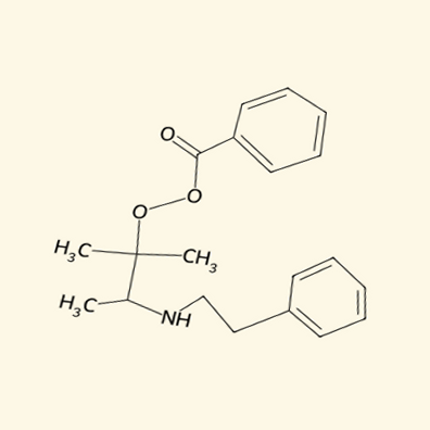 CC(NCCc1ccccc1)C(C)(C)OOC(=O)c1ccccc1